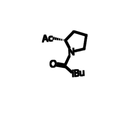 CCC(C)C(=O)N1CCC[C@H]1C(C)=O